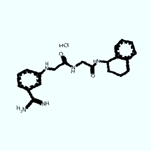 Cl.N=C(N)c1cccc(NCC(=O)NCC(=O)NC2CCCc3ccccc32)c1